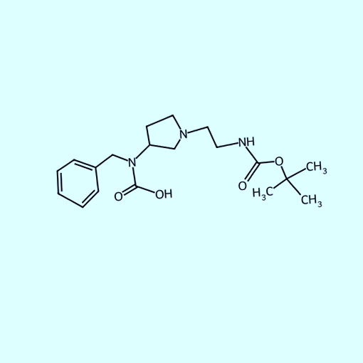 CC(C)(C)OC(=O)NCCN1CCC(N(Cc2ccccc2)C(=O)O)C1